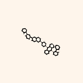 c1ccc2c(c1)sc1cc3sc4cc5cc(-c6ccc(-c7c8ccccc8c(-c8cccc9sc%10ccccc%10c89)c8ccccc78)cc6)ccc5cc4c3cc12